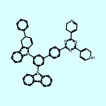 C1=CC(c2nc(C3=CC=NCC3)nc(-c3ccc(-c4cc(-n5c6c(c7ccccc75)CC(c5ccccc5)C=C6)cc(-n5c6ccccc6c6ccccc65)c4)cc3)n2)=CCN1